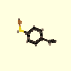 COc1ccc(SBr)cc1